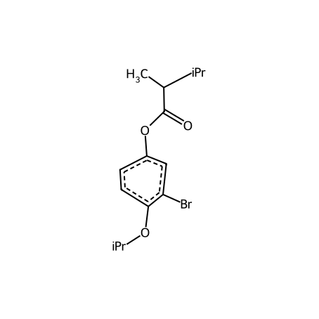 CC(C)Oc1ccc(OC(=O)C(C)C(C)C)cc1Br